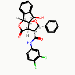 O=C(Nc1ccc(Cl)c(Cl)c1)[C@H]1[C@@H](c2ccccc2)O[C@]23[C@H](O)c4ccccc4[C@H]2OC(=O)[C@H]13